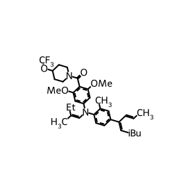 C/C=C/C(=C\C(C)CC)c1ccc(N(/C=C(/C)CC)c2cc(OC)c(C(=O)N3CCC(OC(F)(F)F)CC3)c(OC)c2)c(C)c1